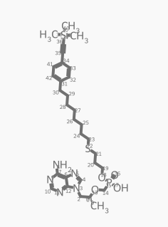 C[C@H](Cn1cnc2c(N)ncnc21)OCP(=O)(O)OCCCSCCCCCCCCc1ccc(C#C[Si](C)(C)C)cc1